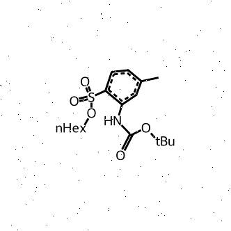 CCCCCCOS(=O)(=O)c1ccc(C)cc1NC(=O)OC(C)(C)C